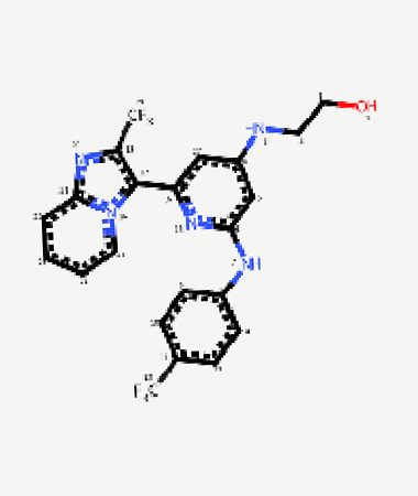 OCCNc1cc(Nc2ccc(C(F)(F)F)cc2)nc(-c2c(C(F)(F)F)nc3ccccn23)c1